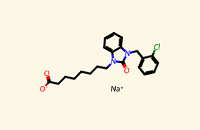 O=C([O-])CCCCCCCn1c(=O)n(Cc2ccccc2Cl)c2ccccc21.[Na+]